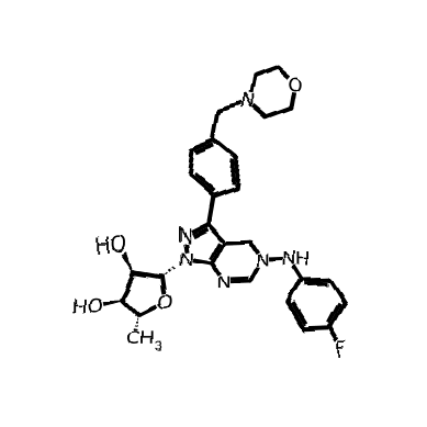 C[C@H]1O[C@@H](n2nc(-c3ccc(CN4CCOCC4)cc3)c3c2N=CN(Nc2ccc(F)cc2)C3)[C@H](O)[C@@H]1O